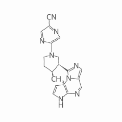 C[C@H]1CCN(c2cnc(C#N)cn2)C[C@H]1c1ncc2cnc3[nH]ccc3n12